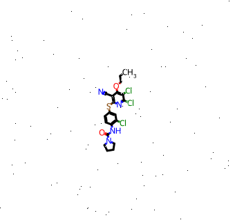 CCCOc1c(Cl)c(Cl)nc(Sc2ccc(NC(=O)N3CCCC3)c(Cl)c2)c1C#N